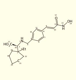 CCC1([C@H](NCc2ccc(C=CC(=O)NO)cc2)C(=O)O)CCCCC1